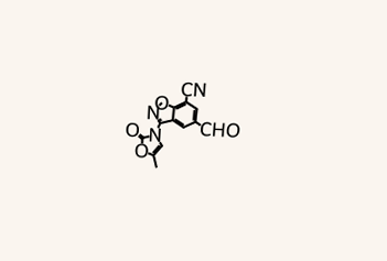 Cc1cn(-c2noc3c(C#N)cc(C=O)cc23)c(=O)o1